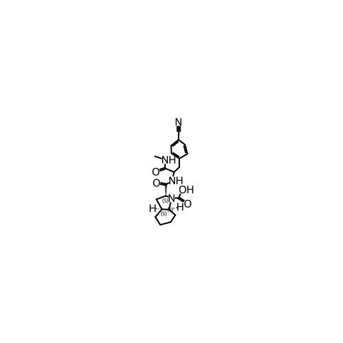 CNC(=O)C(Cc1ccc(C#N)cc1)NC(=O)[C@@H]1C[C@@H]2CCCC[C@@H]2N1C(=O)O